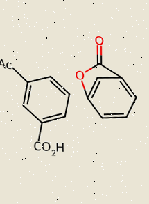 CC(=O)c1cccc(C(=O)O)c1.O=C1Oc2cccc1c2